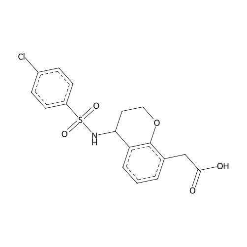 O=C(O)Cc1cccc2c1OCCC2NS(=O)(=O)c1ccc(Cl)cc1